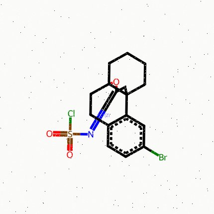 O=S(=O)(Cl)/N=C1/CC23CCCCC2(CCc2ccc(Br)cc23)O1